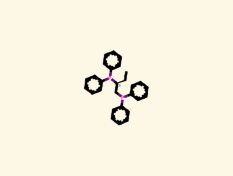 CC[C@@H](CP(c1ccccc1)c1ccccc1)P(c1ccccc1)c1ccccc1